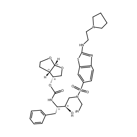 CC(C)CN(C[C@@H](O)[C@H](Cc1ccccc1)NC(=O)O[C@H]1CO[C@H]2OCC[C@H]21)S(=O)(=O)c1ccc2nc(NCCN3CCCC3)sc2c1